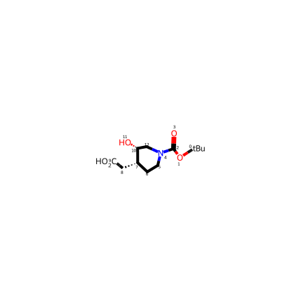 CC(C)(C)OC(=O)N1CC[C@H](CC(=O)O)[C@H](O)C1